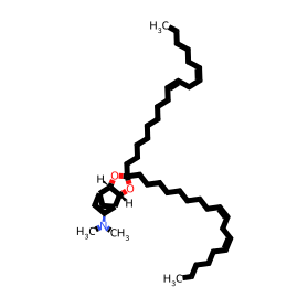 CCCCC/C=C\C/C=C\CCCCCCCCC1(CCCCCCCC/C=C\C/C=C\CCCCC)O[C@@H]2C3CC([C@H]2O1)[C@@H](N(C)C)C3